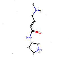 CN(C)C/C=C/C(=O)N[C@H]1CCNC1